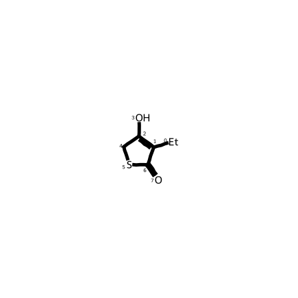 CCC1=C(O)CSC1=O